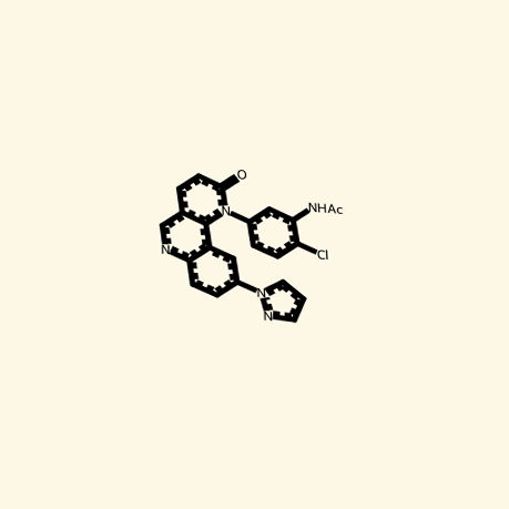 CC(=O)Nc1cc(-n2c(=O)ccc3cnc4ccc(-n5cccn5)cc4c32)ccc1Cl